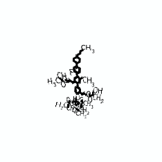 C=C(C)C(=O)OCCCc1cc(-c2ccc(C3CCC(CCCCC)CC3)cc2F)c(CC)cc1-c1ccc(OCC(COC(=O)C(=C)C)(COC(=O)C(=C)C)COC(=O)C(=C)C)c(CCCOC(=O)C(=C)CO)c1